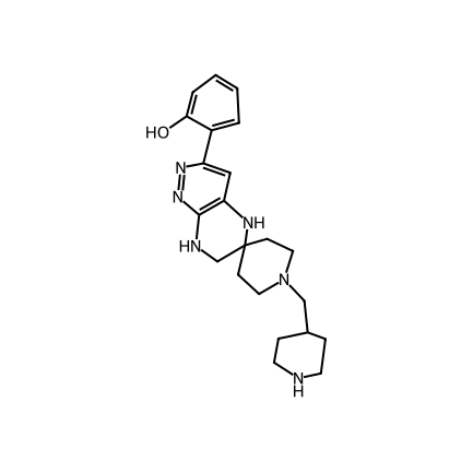 Oc1ccccc1-c1cc2c(nn1)NCC1(CCN(CC3CCNCC3)CC1)N2